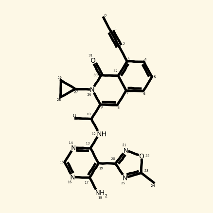 CC#Cc1cccc2cc(C(C)Nc3ncnc(N)c3-c3noc(C)n3)n(C3CC3)c(=O)c12